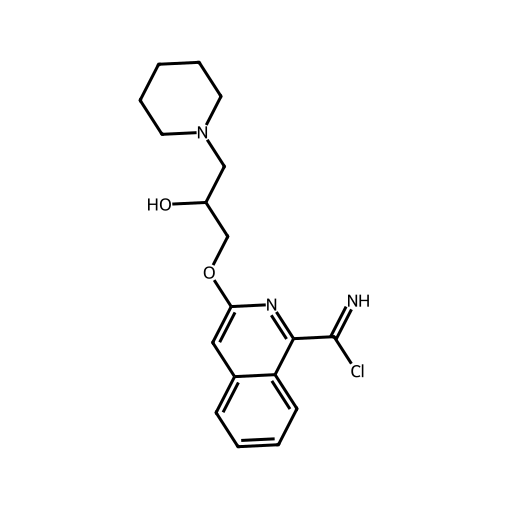 N=C(Cl)c1nc(OCC(O)CN2CCCCC2)cc2ccccc12